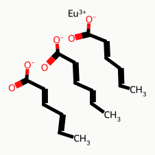 CC=CC=CC(=O)[O-].CC=CC=CC(=O)[O-].CC=CC=CC(=O)[O-].[Eu+3]